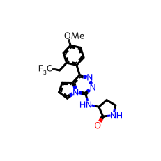 COc1ccc(-c2nnc(NC3CCNC3=O)n3cccc23)c(CC(F)(F)F)c1